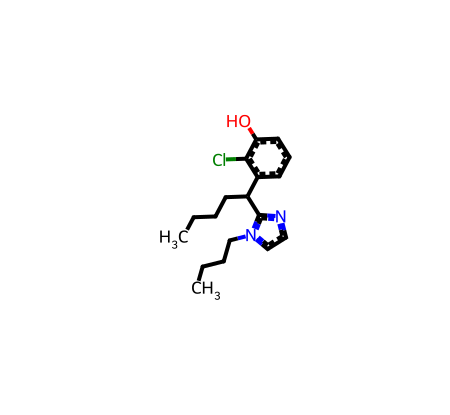 CCCCC(c1cccc(O)c1Cl)c1nccn1CCCC